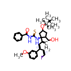 C=C(/C=C(\C=C/I)c1cccc(OC)c1)C1(NC(=S)NC(=O)c2ccccc2)CC(O[Si](C)(C)C(C)(C)C)CC1CO